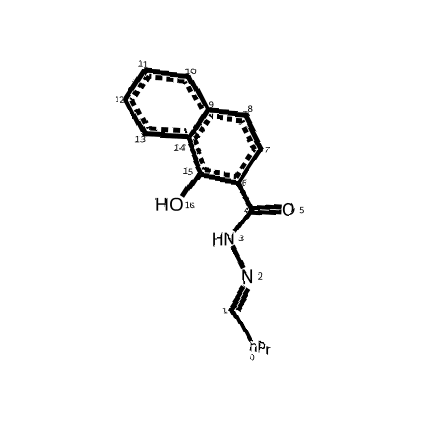 CCCC=NNC(=O)c1ccc2ccccc2c1O